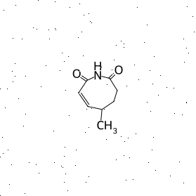 CC1C=CC(=O)NC(=O)CC1